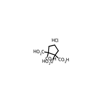 Cl.O=C(O)C1(C(=O)O)CCCC1(C(=O)O)C(=O)O